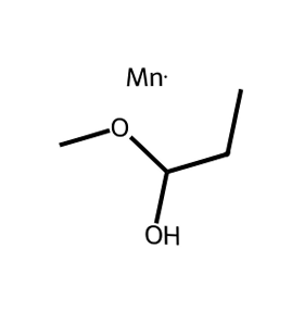 CCC(O)OC.[Mn]